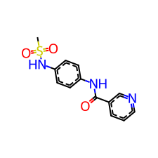 CS(=O)(=O)Nc1ccc(NC(=O)c2cccnc2)cc1